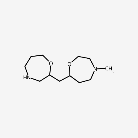 CN1CCOC(CC2CNCCCO2)CC1